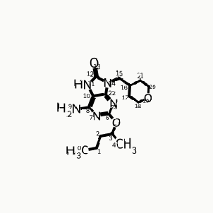 CCCC(C)Oc1nc(N)c2[nH]c(=O)n(CC3CCOCC3)c2n1